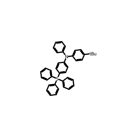 CC(C)(C)c1ccc(N(c2ccccc2)c2ccc(S(c3ccccc3)(c3ccccc3)c3ccccc3)cc2)cc1